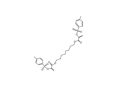 C=C(OS(=O)(=O)c1ccc(C)cc1)C(=O)OCCCCCCCCOC(=O)C(=C)OS(=O)(=O)c1ccc(C)cc1